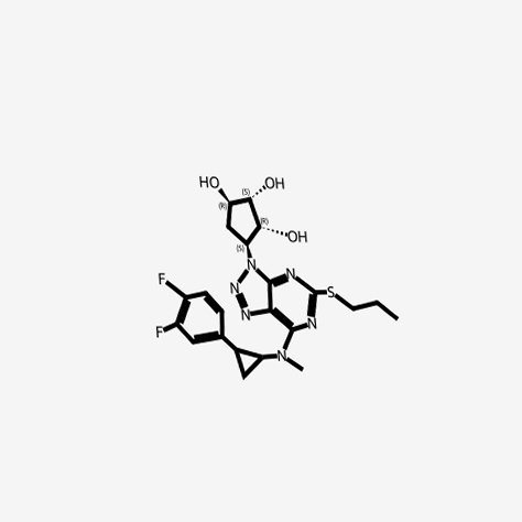 CCCSc1nc(N(C)C2CC2c2ccc(F)c(F)c2)c2nnn([C@H]3C[C@@H](O)[C@H](O)[C@@H]3O)c2n1